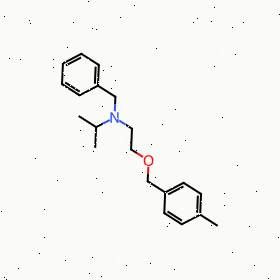 Cc1ccc(COCCN(Cc2ccccc2)C(C)C)cc1